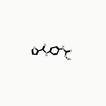 CC(C)(C)OC(=O)Nc1ccc(NC(=O)c2ccco2)cc1